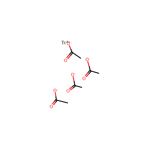 CC(=O)[O-].CC(=O)[O-].CC(=O)[O-].CC(=O)[O-].[Tc+4]